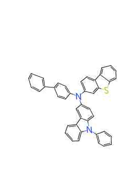 c1ccc(-c2ccc(N(c3ccc4c(c3)sc3ccccc34)c3ccc4c(c3)c3ccccc3n4-c3ccccc3)cc2)cc1